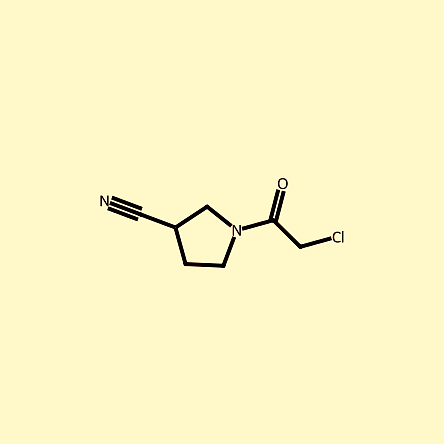 N#CC1CCN(C(=O)CCl)C1